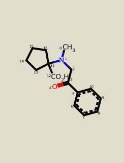 CN(CC(=O)c1ccccc1)C1(C(=O)O)CCCC1